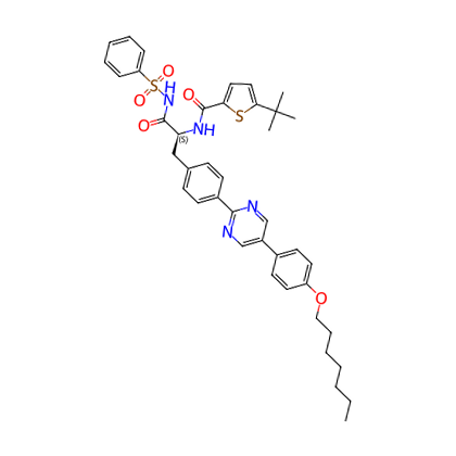 CCCCCCCOc1ccc(-c2cnc(-c3ccc(C[C@H](NC(=O)c4ccc(C(C)(C)C)s4)C(=O)NS(=O)(=O)c4ccccc4)cc3)nc2)cc1